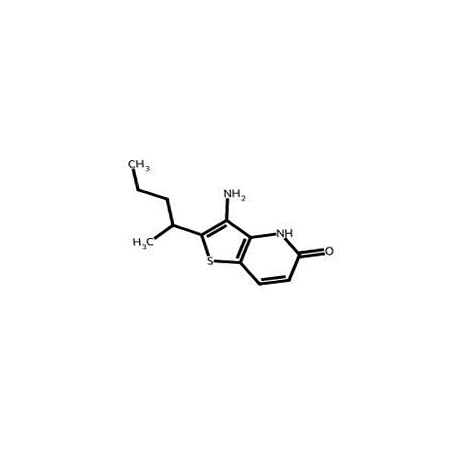 CCCC(C)c1sc2ccc(=O)[nH]c2c1N